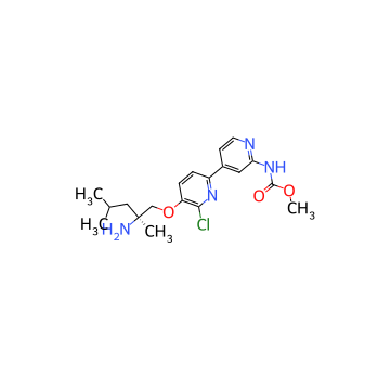 COC(=O)Nc1cc(-c2ccc(OC[C@@](C)(N)CC(C)C)c(Cl)n2)ccn1